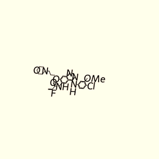 C=C(F)C(=O)Nc1cc2c(Nc3ccc(Cl)c(OC)c3)ncnc2cc1OCCCN1CCOCC1